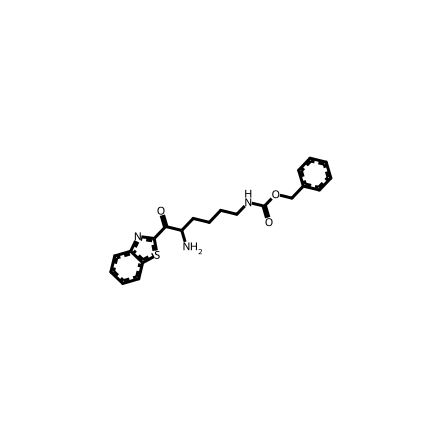 NC(CCCCNC(=O)OCc1ccccc1)C(=O)c1nc2ccccc2s1